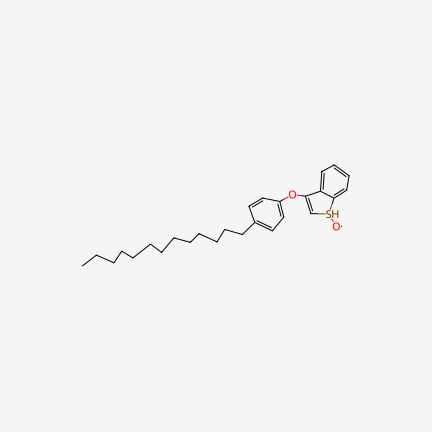 CCCCCCCCCCCCCc1ccc(OC2=C[SH]([O])c3ccccc32)cc1